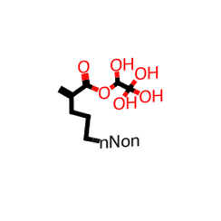 C=C(CCCCCCCCCCCC)C(=O)OC(O)C(O)(O)O